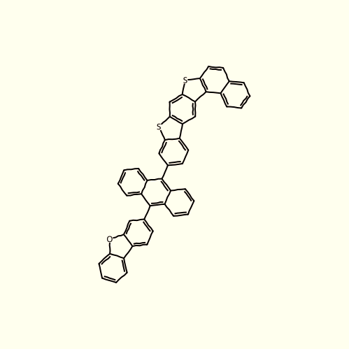 c1ccc2c(c1)ccc1sc3cc4sc5cc(-c6c7ccccc7c(-c7ccc8c(c7)oc7ccccc78)c7ccccc67)ccc5c4cc3c12